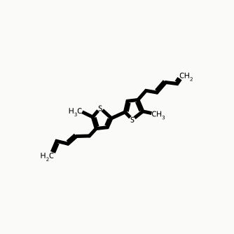 C=C/C=C/Cc1cc(-c2cc(C/C=C/C=C)c(C)s2)sc1C